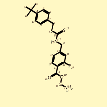 CC(C)(C)c1ccc(CSC(=S)NCc2ccc(C(=O)OSN)c(F)c2)cc1